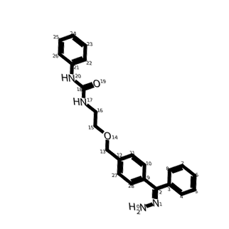 NN=C(c1ccccc1)c1ccc(COCCNC(=O)Nc2ccccc2)cc1